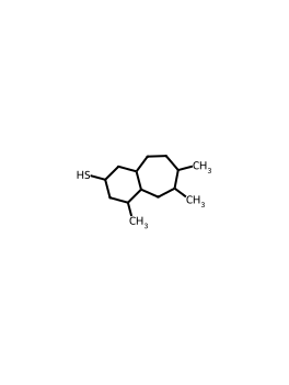 CC1CCC2CC(S)CC(C)C2CC1C